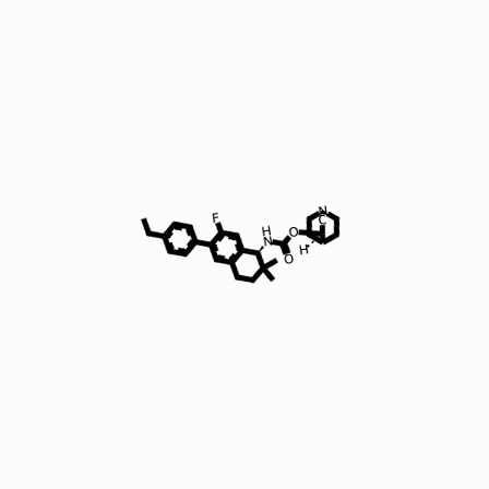 CCc1ccc(-c2cc3c(cc2F)[C@H](NC(=O)O[C@H]2CN4CCC2CC4)C(C)(C)CC3)cc1